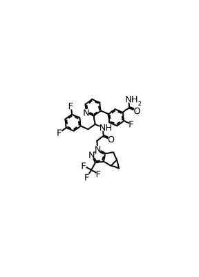 NC(=O)c1cc(-c2cccnc2C(Cc2cc(F)cc(F)c2)NC(=O)Cn2nc(C(F)(F)F)c3c2CC2CC32)ccc1F